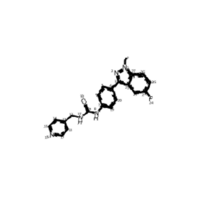 Cn1nc(-c2ccc(NC(=O)NCc3ccncc3)cc2)c2cc(F)ccc21